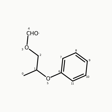 CC(CO[C]=O)Oc1ccccc1